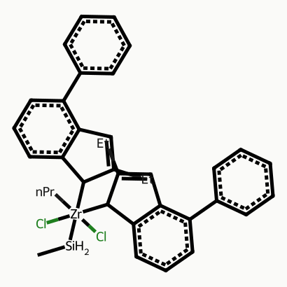 CC[CH2][Zr]([Cl])([Cl])([SiH2]C)([CH]1C(CC)=Cc2c(-c3ccccc3)cccc21)[CH]1C(CC)=Cc2c(-c3ccccc3)cccc21